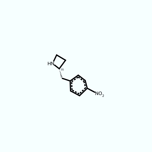 O=[N+]([O-])c1ccc(C[C@H]2CCN2)cc1